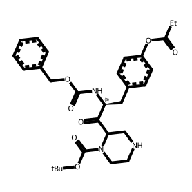 CCC(=O)Oc1ccc(C[C@H](NC(=O)OCc2ccccc2)C(=O)C2CNCCN2C(=O)OC(C)(C)C)cc1